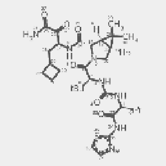 CC(C)[C@H](NC(=O)N[C@H](C(=O)N1C[C@H]2[C@@H]([C@H]1C(=O)NC(CC1CCC1)C(=O)C(N)=O)C2(C)C)C(C)(C)C)C(=O)Nc1nccs1